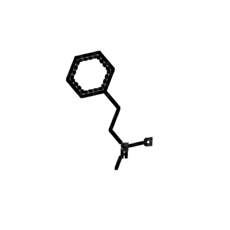 C[SiH](Cl)CCc1ccccc1